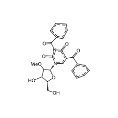 COC1C(O)[C@H](CO)O[C@@H]1n1cc(C(=O)c2ccccc2)c(=O)n(C(=O)c2ccccc2)c1=O